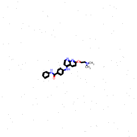 CN(C)CCOc1ccc2c(Nc3ccc(C(=O)Nc4ccccc4)cc3)ccnc2n1